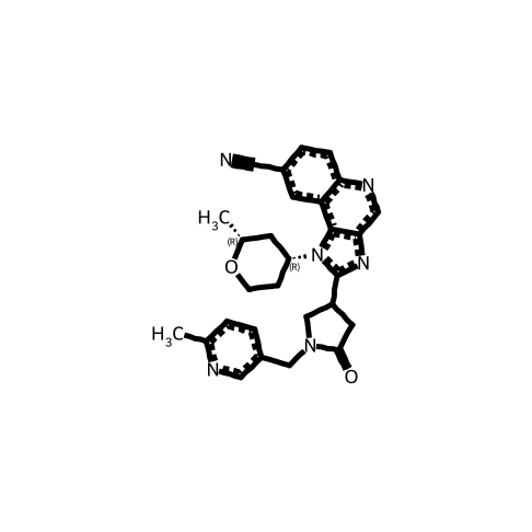 Cc1ccc(CN2CC(c3nc4cnc5ccc(C#N)cc5c4n3[C@@H]3CCO[C@H](C)C3)CC2=O)cn1